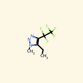 CCc1c(C(F)(F)C(F)(F)F)nnn1C